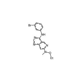 CCON(C)c1cc2ncnc(Nc3cccc(Br)c3)c2cn1